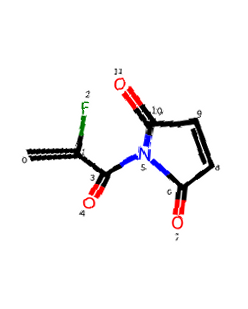 C=C(F)C(=O)N1C(=O)C=CC1=O